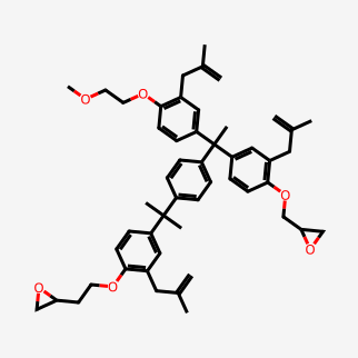 C=C(C)Cc1cc(C(C)(c2ccc(C(C)(C)c3ccc(OCCC4CO4)c(CC(=C)C)c3)cc2)c2ccc(OCC3CO3)c(CC(=C)C)c2)ccc1OCCOC